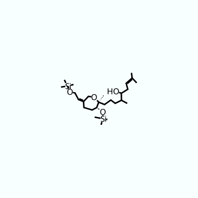 CC(C)=CCC(O)C(C)CCC[C@]1(C)OCC(=CCO[Si](C)(C)C)CC[C@H]1O[Si](C)(C)C